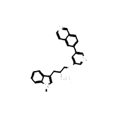 Cn1cc(C[C@H](N)COc2cncc(-c3ccc4cnccc4c3)c2)c2ccccc21